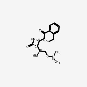 C[SiH](C)OC[C@H]([C@@H]1C(=O)N[C@@H]1[C@H]1CCc2ccccc2C1=O)C(C)(C)C